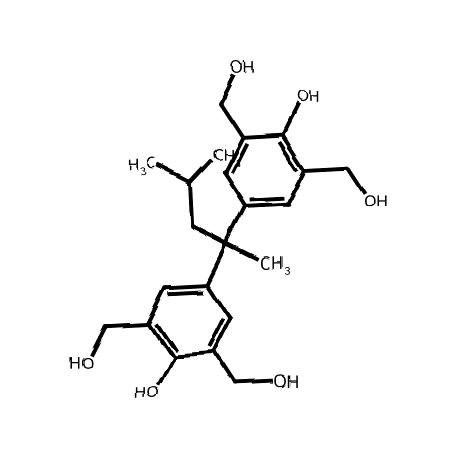 CC(C)CC(C)(c1cc(CO)c(O)c(CO)c1)c1cc(CO)c(O)c(CO)c1